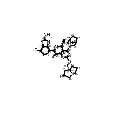 C#Cc1nc(-c2ccc(F)c3sc(N)nc23)c(F)c2nc(OC[C@@]34CCCN3C[C@H](F)C4)nc(N3CC4CCC(C3)N4)c12